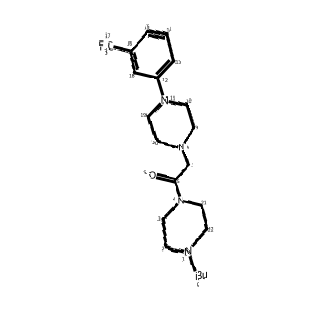 CCC(C)N1CCN(C(=O)CN2CCN(c3cccc(C(F)(F)F)c3)CC2)CC1